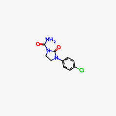 NC(=O)N1CCN(c2ccc(Cl)cc2)C1=O